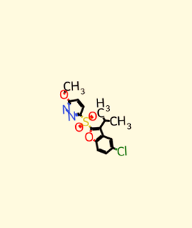 COc1ccc(S(=O)(=O)c2oc3ccc(Cl)cc3c2C(C)C)nn1